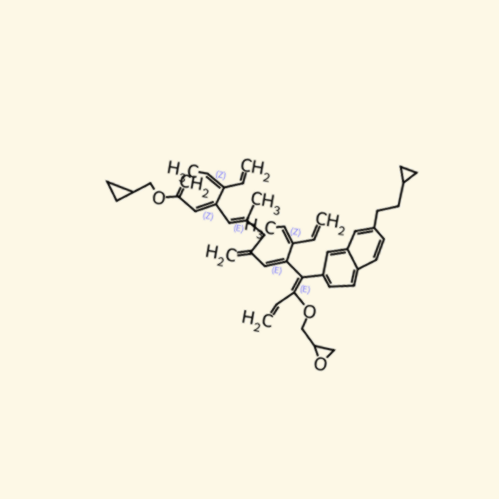 C=CC(=C/C)/C(=C\C(=C)OCC1CC1)/C=C(\C)CC(=C)/C=C(C(\C=C)=C/C)/C(=C(\C=C)OCC1CO1)c1ccc2ccc(CCC3CC3)cc2c1